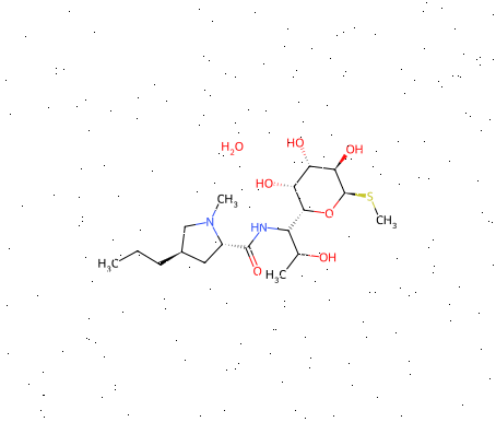 CCC[C@@H]1C[C@@H](C(=O)NC(C(C)O)[C@H]2O[C@H](SC)[C@H](O)[C@@H](O)[C@H]2O)N(C)C1.O